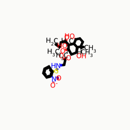 C=C[C@@]1(C)CC(=O)[C@]2(O)[C@@]3(C)[C@@H](O)CCC(C)(C)[C@@H]3[C@H](O)[C@H](OC(=O)CNSc3ccccc3[N+](=O)[O-])[C@@]2(C)O1